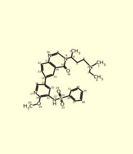 CCN(C)CCC(C)n1cnc2ccc(-c3cnc(OC)c(NS(=O)(=O)c4ccccc4)c3)cc2c1=O